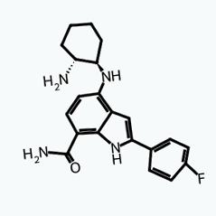 NC(=O)c1ccc(N[C@@H]2CCCC[C@H]2N)c2cc(-c3ccc(F)cc3)[nH]c12